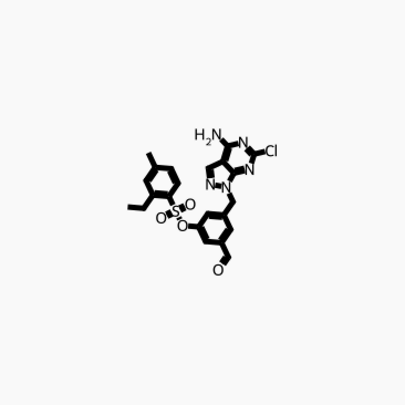 CCc1cc(C)ccc1S(=O)(=O)Oc1cc(C=O)cc(Cn2ncc3c(N)nc(Cl)nc32)c1